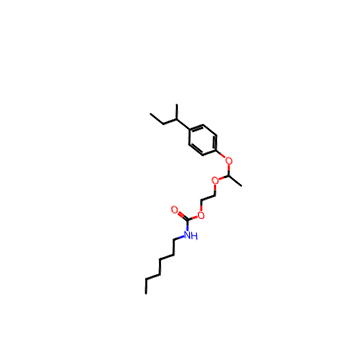 CCCCCCNC(=O)OCCOC(C)Oc1ccc(C(C)CC)cc1